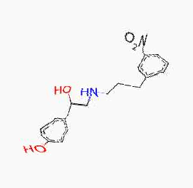 O=[N+]([O-])c1cccc(CCCNCC(O)c2ccc(O)cc2)c1